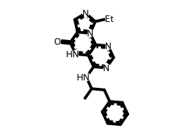 CCc1ncc2c(=O)[nH]c3c(NC(C)Cc4ccccc4)ncnc3n12